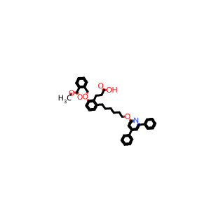 COC(=O)c1ccccc1COc1cccc(CCCCCCOc2cc(-c3ccccc3)cc(-c3ccccc3)n2)c1CCC(=O)O